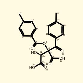 Cc1ccc(C(=O)O[C@](C(=O)O)(C(=O)c2ccc(C)cc2)[C@H](O)C(=O)O)cc1